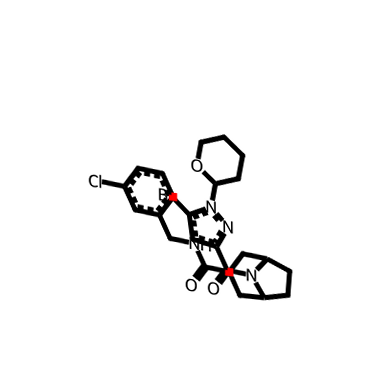 O=C(NCc1cccc(Cl)c1)C1CC2CCC(C1)N2C(=O)c1cc(Br)n(C2CCCCO2)n1